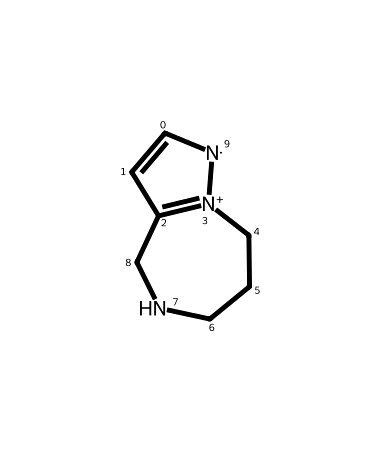 C1=CC2=[N+](CCCNC2)[N]1